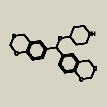 c1cc2c(cc1C(OC1CCNCC1)c1ccc3c(c1)COCO3)COCO2